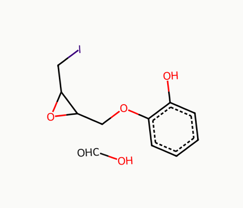 O=CO.Oc1ccccc1OCC1OC1CI